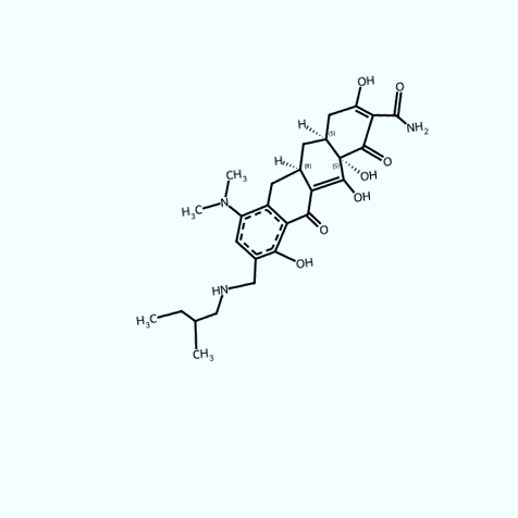 CCC(C)CNCc1cc(N(C)C)c2c(c1O)C(=O)C1=C(O)[C@]3(O)C(=O)C(C(N)=O)=C(O)C[C@@H]3C[C@@H]1C2